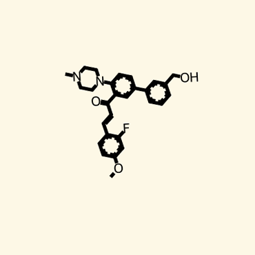 COc1ccc(C=CC(=O)c2cc(-c3cccc(CO)c3)ccc2N2CCN(C)CC2)c(F)c1